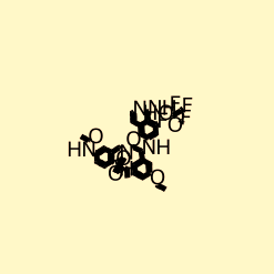 CCOc1cccc(C(Nc2cc(F)c3c(N)nccc3c2)C(=O)NCc2cc(NC(C)=O)ccc2S(=O)(=O)CC)c1.O=C(O)C(F)(F)F